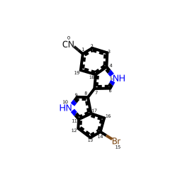 [C-]#[N+]c1ccc2[nH]cc(-c3c[nH]c4ccc(Br)cc34)c2c1